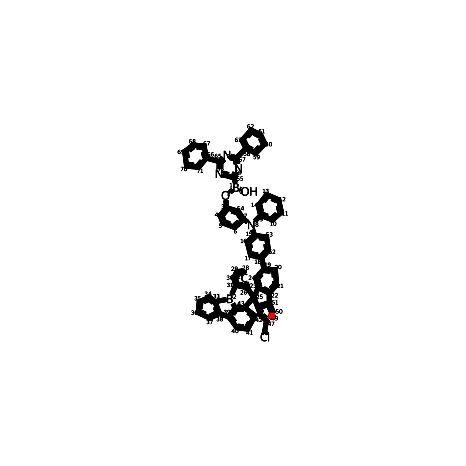 OB(Oc1cccc(N(c2ccccc2)c2ccc(-c3ccc4c(c3)C3(c5ccccc5B5c6ccccc6-c6cccc3c65)c3cc(Cl)ccc3-4)cc2)c1)c1nc(-c2ccccc2)nc(-c2ccccc2)n1